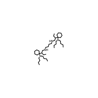 CCCCN(CCCC)C1(C(CC)CNCCCCNCC(CC)C2(N(CCCC)CCCC)CCCCC2)CCCCC1